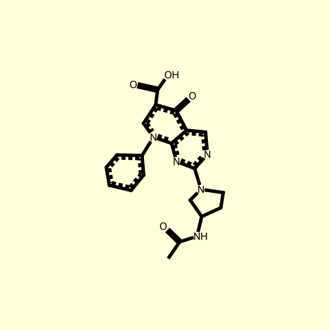 CC(=O)NC1CCN(c2ncc3c(=O)c(C(=O)O)cn(-c4ccccc4)c3n2)C1